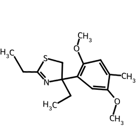 CCC1=NC(CC)(c2cc(OC)c(C)cc2OC)CS1